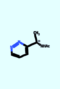 CC(=O)N[C@H](C)c1cccnn1